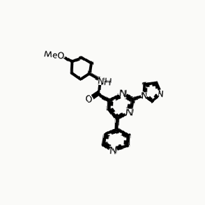 COC1CCC(NC(=O)c2cc(-c3ccncc3)nc(-n3ccnc3)n2)CC1